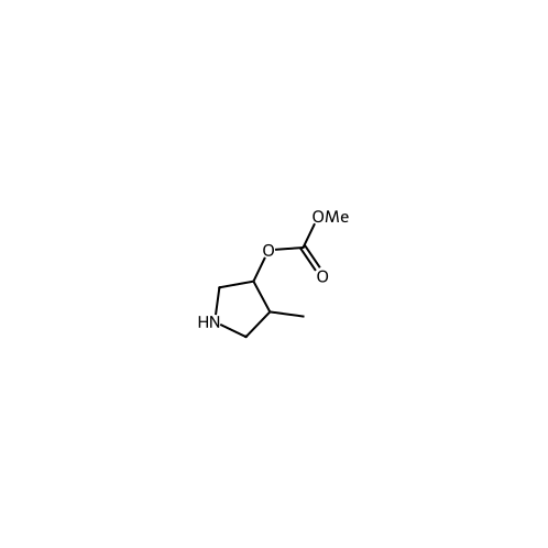 COC(=O)OC1CNCC1C